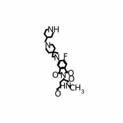 CNC(=O)C(CCC=O)N1C(=O)c2cc(F)c(N3CC4(CCN(CC5CCNCC5)CC4)C3)cc2C1=O